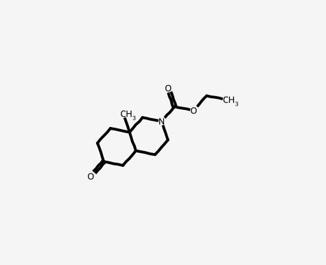 CCOC(=O)N1CCC2CC(=O)CCC2(C)C1